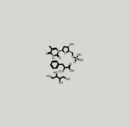 Cc1cn([C@H]2C[C@H](O)[C@@H](COP(=O)(O)O)O2)c(=O)[nH]c1=O.NC(Cc1ccccc1)C(=O)O.OCC(O)C(O)CO